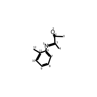 CC(=O)/C(C)=N/c1ccccc1C